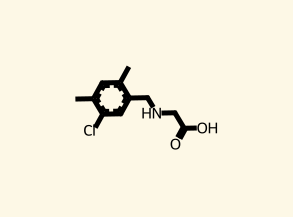 Cc1cc(C)c(CNCC(=O)O)cc1Cl